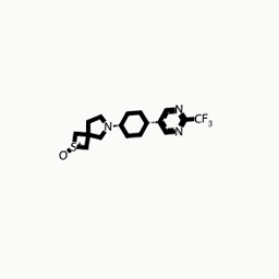 [O-][S+]1CC2(CCN([C@H]3CC[C@@H](c4cnc(C(F)(F)F)nc4)CC3)C2)C1